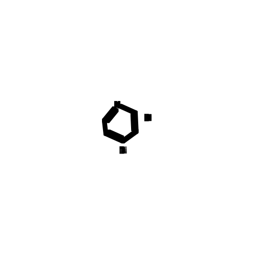 [B].[B].c1ccncc1